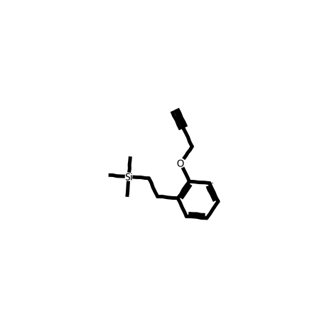 C#CCOc1[c]cccc1CC[Si](C)(C)C